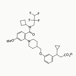 COc1ccc(C(=O)N(CC(F)(F)C(F)F)C2CCC2)c(N2CCC(COc3cccc(C(CC(=O)O)C4CC4)c3)CC2)c1